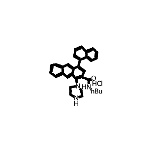 CCCCNC(=O)c1cc(-c2cccc3ccccc23)c2cc3ccccc3cc2c1N1CCNCC1.Cl